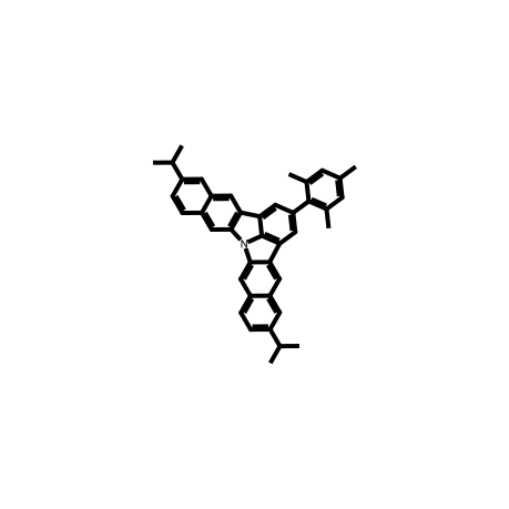 Cc1cc(C)c(-c2cc3c4cc5cc(C(C)C)ccc5cc4n4c5cc6ccc(C(C)C)cc6cc5c(c2)c34)c(C)c1